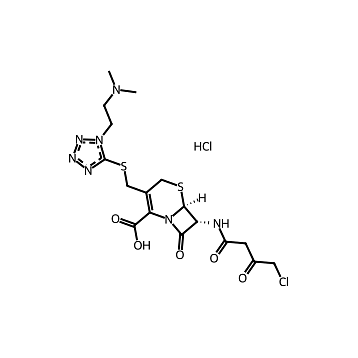 CN(C)CCn1nnnc1SCC1=C(C(=O)O)N2C(=O)[C@@H](NC(=O)CC(=O)CCl)[C@@H]2SC1.Cl